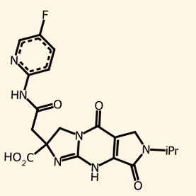 CC(C)N1CC2=C(NC3=NC(CC(=O)Nc4ccc(F)cn4)(C(=O)O)CN3C2=O)C1=O